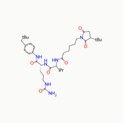 CC(C)C(NC(=O)CCCCCN1C(=O)CC(C(C)(C)C)C1=O)C(=O)N[C@H](CCCNC(N)=O)C(=O)Nc1ccc(CC(C)(C)C)cc1